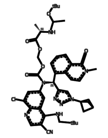 CC(N[C@@H](C)C(=O)OCOC(=O)N(c1cc(Cl)c2ncc(C#N)c(NCC(C)(C)C)c2c1)[C@H](c1cn(C23CC(C2)C3)nn1)c1cccc2c(=O)n(C)ccc12)OC(C)(C)C